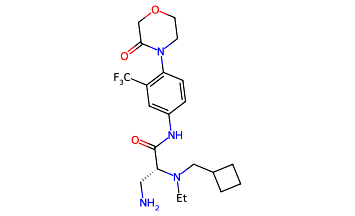 CCN(CC1CCC1)[C@H](CN)C(=O)Nc1ccc(N2CCOCC2=O)c(C(F)(F)F)c1